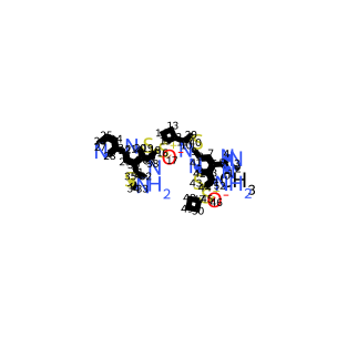 Cn1cnnc1-c1cc(-c2nc(C3CCC3[S+]([O-])c3sc4nc(-c5cccnc5)cc(-c5cncs5)c4c3N)cs2)nc2sc([S+]([O-])C3CCC3)c(N)c12